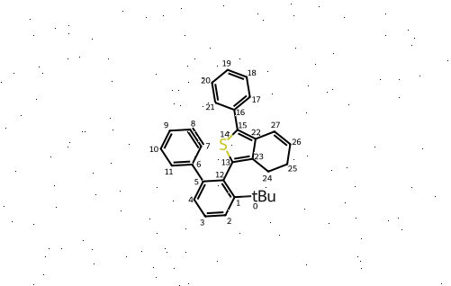 CC(C)(C)c1cccc(-c2c#cccc2)c1-c1sc(-c2ccccc2)c2c1CCC=C2